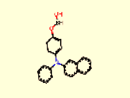 OBOC1=CC=C(N(c2ccccc2)c2ccc3ccccc3c2)CC1